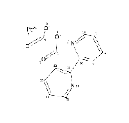 O=C[O-].O=C[O-].[Pt+2].c1ccc(-c2ccccn2)nc1